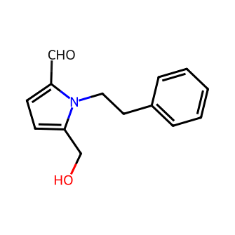 O=Cc1ccc(CO)n1CCc1ccccc1